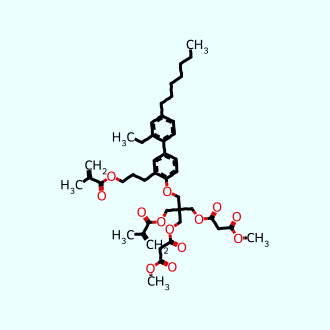 C=C(C)C(=O)OCCCc1cc(-c2ccc(CCCCCCC)cc2CC)ccc1OCC(COC(=O)CC(=O)OC)(COC(=O)CC(=O)OC)COC(=O)C(=C)C